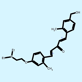 CCN(CC)CCOc1ccc(/C=C/C(=O)/C=C/c2ccc(CO)cc2C)c(C)c1